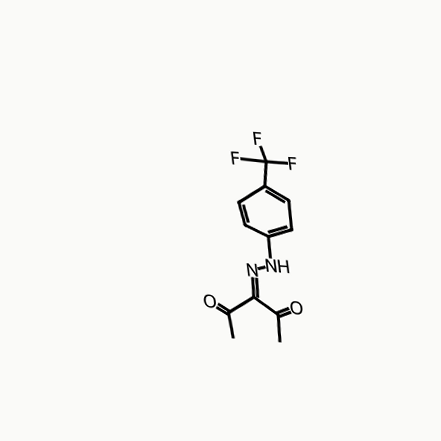 CC(=O)C(=NNc1ccc(C(F)(F)F)cc1)C(C)=O